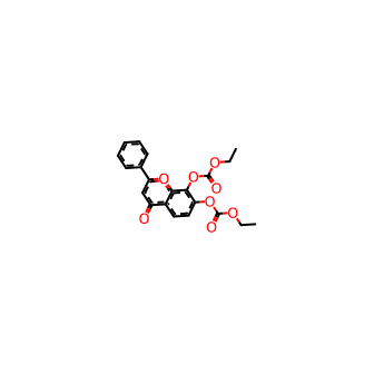 CCOC(=O)Oc1ccc2c(=O)cc(-c3ccccc3)oc2c1OC(=O)OCC